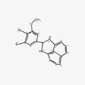 COc1cc(C2Nc3cccc4cccc(c34)N2)cc(Br)c1O